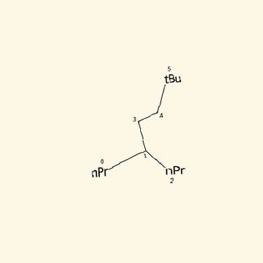 CCCC(CCC)CCC(C)(C)C